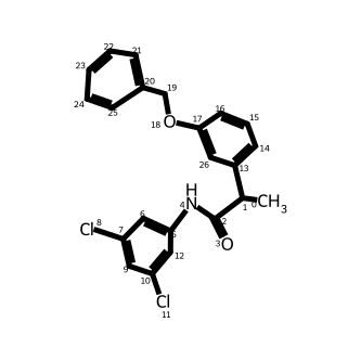 CC(C(=O)Nc1cc(Cl)cc(Cl)c1)c1cccc(OCc2ccccc2)c1